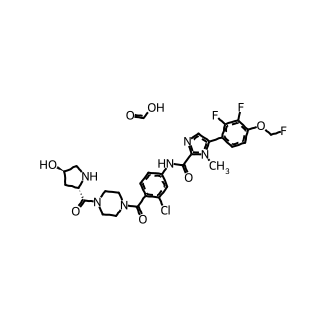 Cn1c(-c2ccc(OCF)c(F)c2F)cnc1C(=O)Nc1ccc(C(=O)N2CCN(C(=O)[C@@H]3C[C@@H](O)CN3)CC2)c(Cl)c1.O=CO